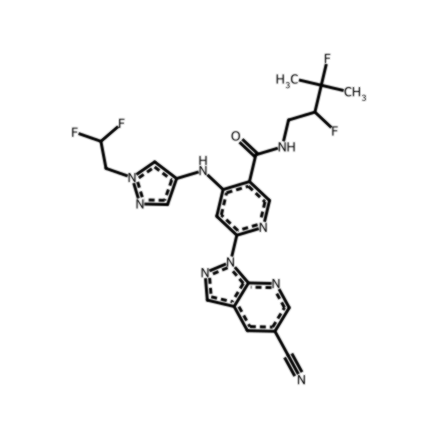 CC(C)(F)C(F)CNC(=O)c1cnc(-n2ncc3cc(C#N)cnc32)cc1Nc1cnn(CC(F)F)c1